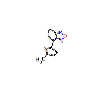 Cc1ccc(-c2cccc3nonc23)s1